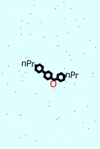 CCCC1CCC(C(=O)C2CCC(C3CCC(CCC)CC3)CC2)CC1